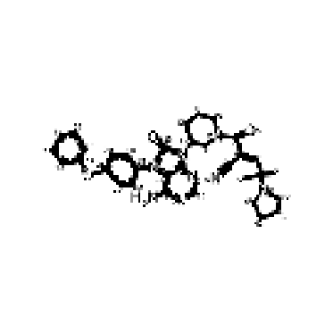 CC(C)(C=C(C#N)C(=O)N1CCCC(n2c(=O)n(-c3ccc(Oc4ccccc4)cc3)c3c(N)ncnc32)C1)N1CCCC1